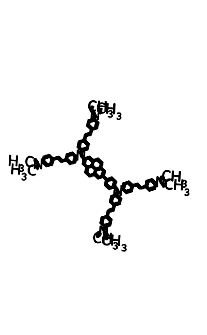 CCN(CC)c1ccc(C=Cc2ccc(N(C3=CC4=CCc5cc(-c6ccc(N(c7ccc(C=Cc8ccc(N(CC)CC)cc8)cc7)c7ccc(C=Cc8ccc(N(CC)CC)cc8)cc7)cc6)cc6c5C4C(=C3)C=C6)c3ccc(C=Cc4ccc(N(CC)CC)cc4)cc3)cc2)cc1